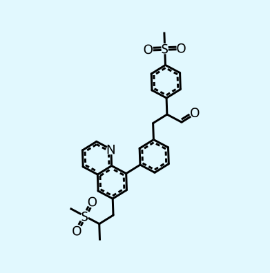 CC(Cc1cc(-c2cccc(CC(C=O)c3ccc(S(C)(=O)=O)cc3)c2)c2ncccc2c1)S(C)(=O)=O